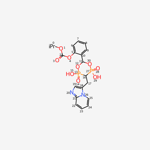 CC(C)OC(=O)Oc1ccccc1C1OP(=O)(O)C(Cc2cnc3ccccn23)P(=O)(O)O1